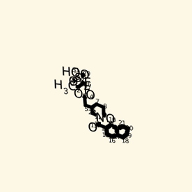 CC(OC(=O)CC1CCC(=O)N(C(=O)c2ccc3ccccc3c2)C1)C(F)(F)S(=O)(=O)O